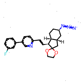 [N-]=[N+]=N[C@@H]1CC[C@@H]2[C@H](C1)CC1(OCCO1)[C@H]2/C=C/c1ccc(-c2cccc(F)c2)cn1